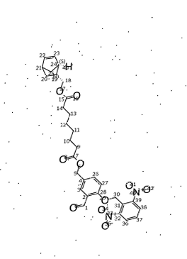 O=Cc1cc(COC(=O)CCCCCCC(=O)OC[C@@H]2CC3C=C[C@@H]2C3)ccc1OCc1c([N+](=O)[O-])cccc1[N+](=O)[O-]